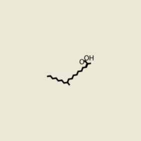 CCCCCCCC(C)CCCCCCCC=C(C)C(=O)O